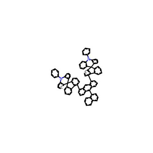 c1ccc(N2c3ccccc3C3(c4ccccc4-c4c(-c5cccc6c(-c7cccc8ccccc78)c7cccc(-c8cccc9c8-c8ccccc8C98c9ccccc9N(c9ccccc9)c9ccccc98)c7cc56)cccc43)c3ccccc32)cc1